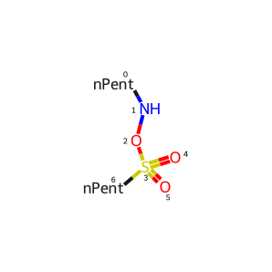 CCCCCNOS(=O)(=O)CCCCC